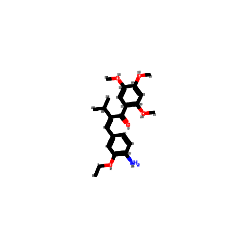 CCOc1cc(C=C(C(=O)c2cc(OC)c(OC)cc2OC)C(C)C)ccc1N